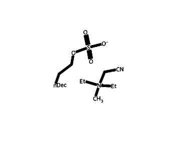 CCCCCCCCCCCCOS(=O)(=O)[O-].CC[N+](C)(CC)CC#N